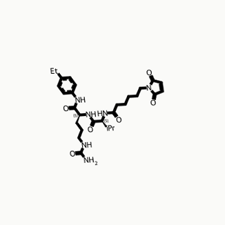 CCc1ccc(NC(=O)[C@H](CCCNC(N)=O)NC(=O)[C@@H](NC(=O)CCCCCN2C(=O)C=CC2=O)C(C)C)cc1